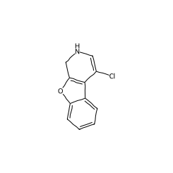 ClC1=CNCc2oc3ccccc3c21